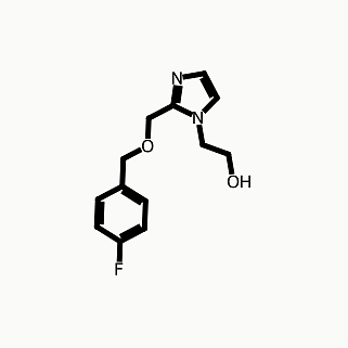 OCCn1ccnc1COCc1ccc(F)cc1